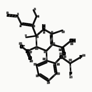 C=CC=C(CC)C1(C)NC(C)=C(C(=O)O)C(c2ccccc2OC(F)F)C1[N+](=O)[O-]